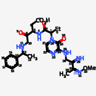 CCC(C(=O)NC(CC(=O)O)C(=O)CNC(C)c1ccccc1)n1ccnc(NCC(=N)/C(C)=N\OC)c1=O